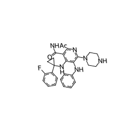 CC(=O)NC(=O)c1cnc(N2CCNCC2)c(Nc2ccccc2)c1NC1(c2ccccc2F)CC1